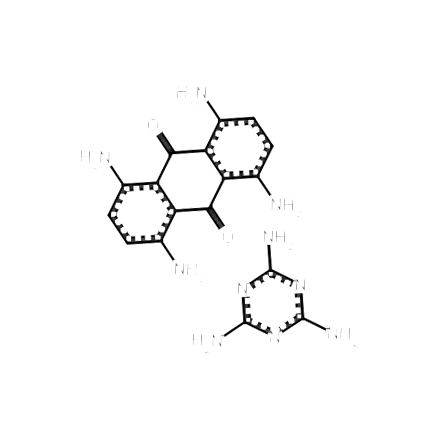 Nc1ccc(N)c2c1C(=O)c1c(N)ccc(N)c1C2=O.Nc1nc(N)nc(N)n1